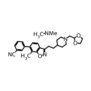 CNC.Cc1c(-c2cccc(C#N)c2)ccc2c(CCC3CCN(CC4OCCO4)CC3)noc12